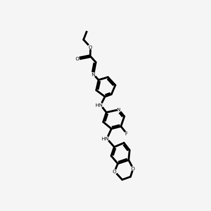 CCOC(=O)C=Nc1cccc(Nc2cc(Nc3ccc4c(c3)OCCO4)c(F)cn2)c1